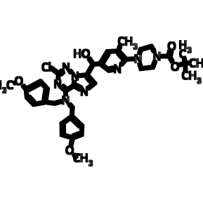 COc1ccc(CN(Cc2ccc(OC)cc2)c2nc(Cl)nn3c(C(O)c4cnc(N5CCN(C(=O)OC(C)(C)C)CC5)c(C)c4)cnc23)cc1